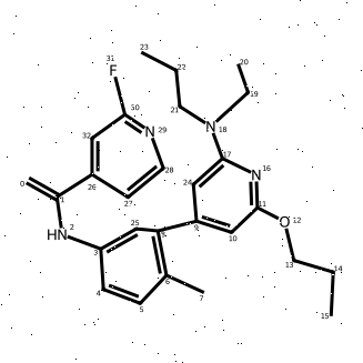 C=C(Nc1ccc(C)c(-c2cc(OCCC)nc(N(CC)CCC)c2)c1)c1ccnc(F)c1